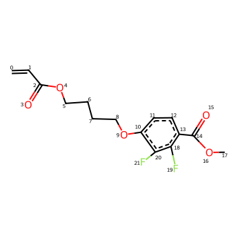 C=CC(=O)OCCCCOc1ccc(C(=O)OC)c(F)c1F